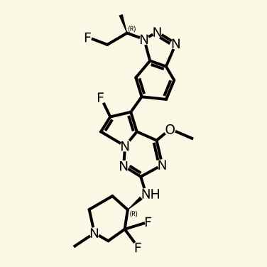 COc1nc(N[C@@H]2CCN(C)CC2(F)F)nn2cc(F)c(-c3ccc4nnn([C@H](C)CF)c4c3)c12